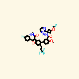 CNC(=O)c1c(-c2ccc(F)cc2)oc2cc(CCC(F)(F)F)c(-c3ccc(OC)c(C(=O)NC4(c5ncccn5)CC(OC(F)F)C4)c3)cc12